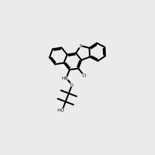 CC(C)(O)C(C)(C)OBc1c(Cl)c2c3ccccc3sc2c2ccccc12